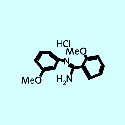 COc1cccc(N=C(N)c2ccccc2OC)c1.Cl